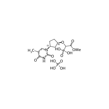 COC(=O)C(O[C@@H]1CC[C@H](n2cc(C)c(=O)[nH]c2=O)C1)P(=O)(O)O.O=P(O)(O)O